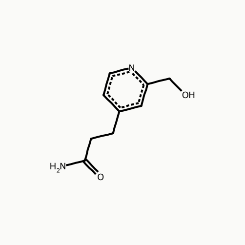 NC(=O)CCc1ccnc(CO)c1